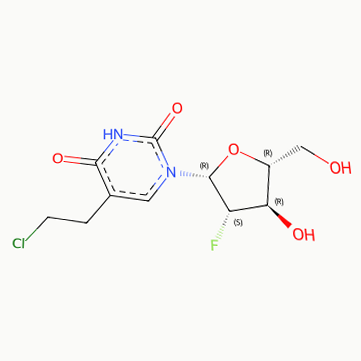 O=c1[nH]c(=O)n([C@@H]2O[C@H](CO)[C@@H](O)[C@@H]2F)cc1CCCl